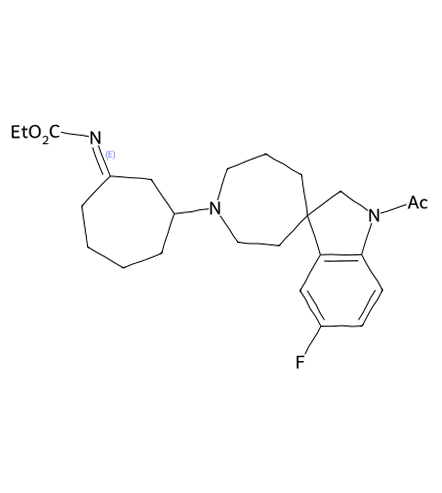 CCOC(=O)/N=C1\CCCCC(N2CCCC3(CC2)CN(C(C)=O)c2ccc(F)cc23)C1